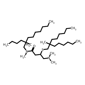 CCCCCCCC(C)(CCCC)CN(C)C(=O)CC(CN(C)C)SCC(C)(CCCCCC)CCCCCC